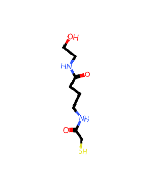 O=C(CS)NCCCC(=O)NCCO